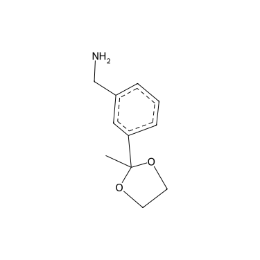 CC1(c2cccc(CN)c2)OCCO1